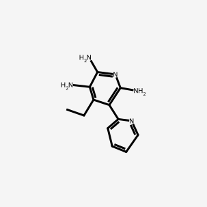 CCc1c(N)c(N)nc(N)c1-c1ccccn1